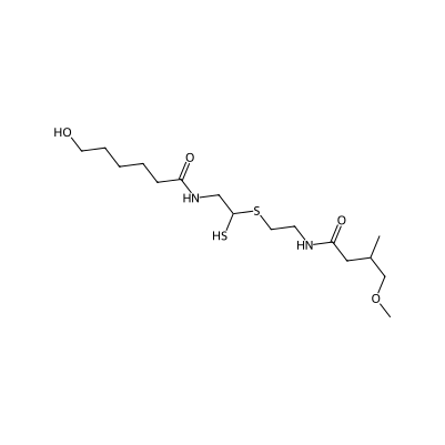 COCC(C)CC(=O)NCCSC(S)CNC(=O)CCCCCO